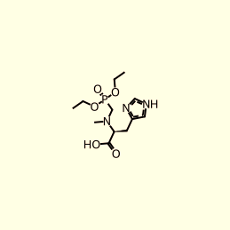 CCOP(=O)(CN(C)[C@@H](Cc1c[nH]cn1)C(=O)O)OCC